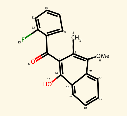 COc1c(C)c(C(=O)c2ccccc2F)c(O)c2ccccc12